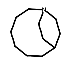 C1CCCN2CCC(CC1)CC2